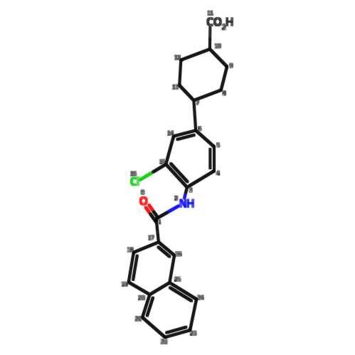 O=C(Nc1ccc(C2CCC(C(=O)O)CC2)cc1Cl)c1ccc2ccccc2c1